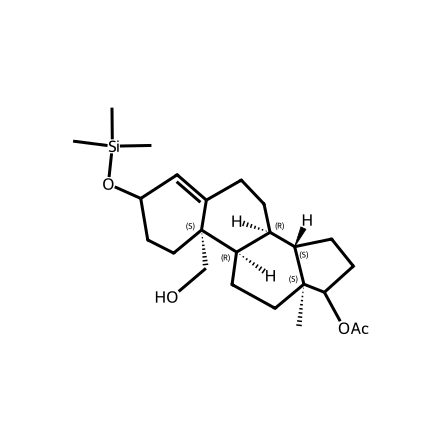 CC(=O)OC1CC[C@H]2[C@@H]3CCC4=CC(O[Si](C)(C)C)CC[C@]4(CO)[C@@H]3CC[C@]12C